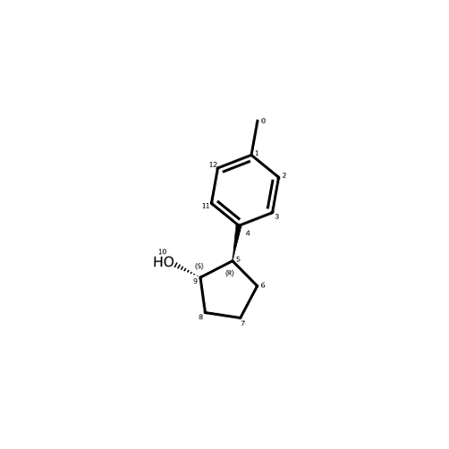 Cc1ccc([C@H]2CCC[C@@H]2O)cc1